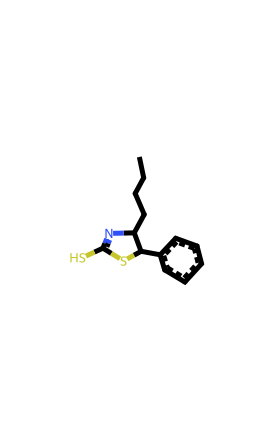 CCCCC1N=C(S)SC1c1ccccc1